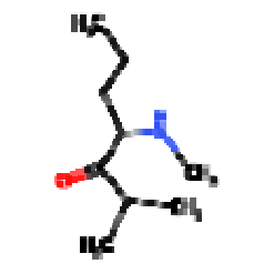 CCCC(NC)C(=O)C(C)C